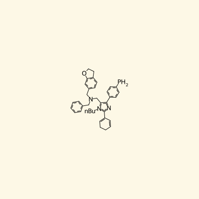 CCCCn1c(C2=CCCC=C2)nc(-c2ccc(P)cc2)c1CN(Cc1ccccc1)Cc1ccc2c(c1)OCC2